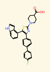 O=C(O)C1CCN(c2nc(-c3ccc(-c4ccc(F)cc4)cc3)c(-c3cccc4[nH]ccc34)s2)CC1